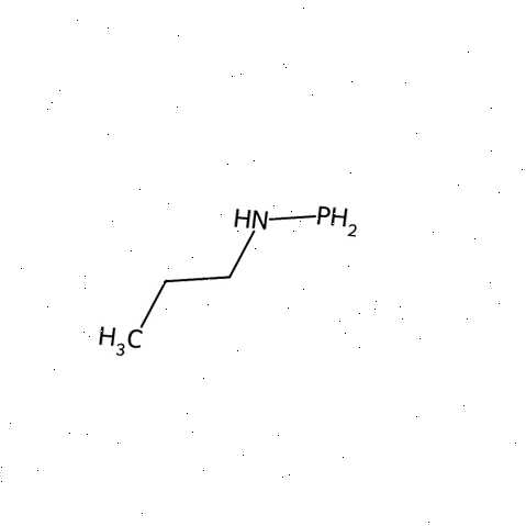 CCCNP